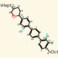 CCCCCCCCc1ccc(-c2ccc(-c3ccc(C4CCC(CCCCCCC)CO4)cc3F)cc2)c(F)c1F